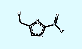 O=[N+]([O-])c1nc(CCl)cs1